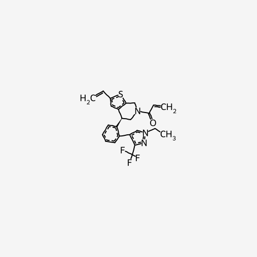 C=CC(=O)N1Cc2sc(C=C)cc2[C@H](c2ccccc2-c2cn(CC)nc2C(F)(F)F)C1